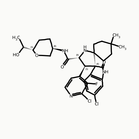 CC(O)[C@@H]1CC[C@@H](NC(=O)[C@@H]2NC3(CCC(C)(C)CC3)[C@@]3(C(=O)Nc4cc(Cl)ccc43)[C@H]2c2ccnc(Cl)c2F)CO1